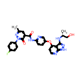 Cc1cc(C(=O)Nc2ccc(Oc3ccnc4[nH]nc(N[C@H](C)CO)c34)cn2)c(=O)n(-c2ccc(F)cc2)n1